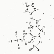 CC1(C)Oc2c(C(F)(F)F)cc(C(F)(F)F)nc2-n2cc(-c3nnco3)nc21